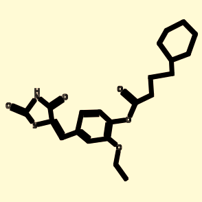 CCOc1cc(C=C2SC(=O)NC2=O)ccc1OC(=O)CCCC1CCCCC1